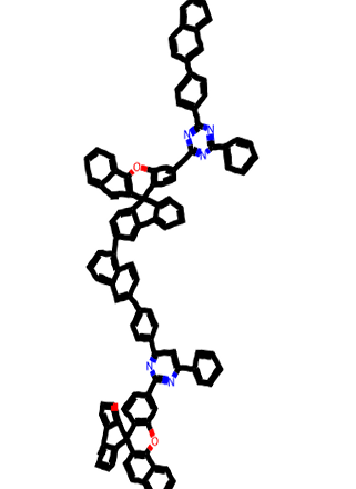 c1ccc(-c2cc(-c3ccc(-c4ccc5c(-c6ccc7c(c6)-c6ccccc6C76c7ccc(-c8nc(-c9ccccc9)nc(-c9ccc(-c%10ccc%11ccccc%11c%10)cc9)n8)cc7Oc7c6ccc6ccccc76)cccc5c4)cc3)nc(-c3ccc4c(c3)Oc3c(ccc5ccccc35)C43c4ccccc4-c4ccccc43)n2)cc1